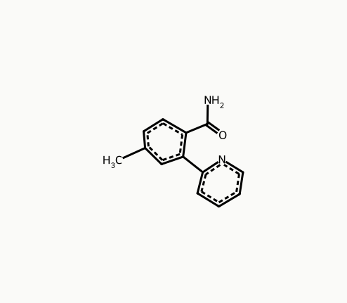 Cc1ccc(C(N)=O)c(-c2ccccn2)c1